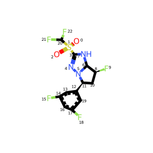 O=S(=O)(C1=NN2C(N1)[C@@H](F)C[C@H]2c1cc(F)cc(F)c1)C(F)F